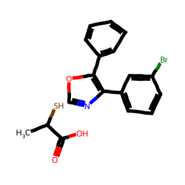 Brc1cccc(-c2ncoc2-c2ccccc2)c1.CC(S)C(=O)O